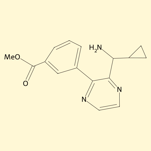 COC(=O)c1cccc(-c2nccnc2C(N)C2CC2)c1